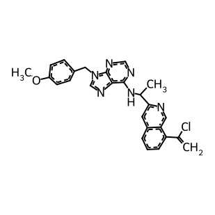 C=C(Cl)c1cccc2cc(C(C)Nc3ncnc4c3ncn4Cc3ccc(OC)cc3)ncc12